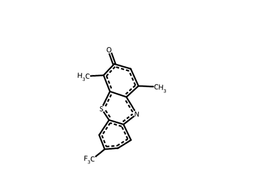 Cc1cc(=O)c(C)c2sc3cc(C(F)(F)F)ccc3nc1-2